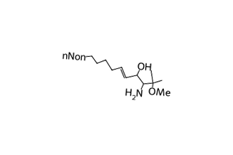 CCCCCCCCCCCCCC=CC(O)C(N)C(C)(C)OC